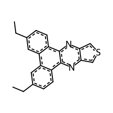 CCc1ccc2c(c1)c1cc(CC)ccc1c1nc3cscc3nc21